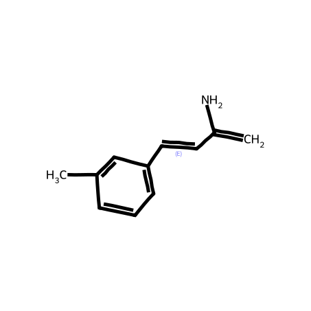 C=C(N)/C=C/c1cccc(C)c1